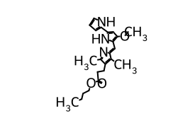 CCCCOC(=O)CCC1=C(C)/C(=C/c2[nH]c(-c3ccc[nH]3)cc2OC)N=C1C